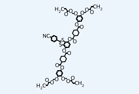 C=CC(=O)OCOc1ccc(OC(=O)C2CCC(C(=O)Oc3ccc(OC(=O)C4CCC(C(=O)Oc5ccc(OCOC(=O)C=C)c(OCOC(=O)C=C)c5)CC4)c4c3SC(c3ccc(C#N)cc3)S4)CC2)cc1OCOC(=O)C=C